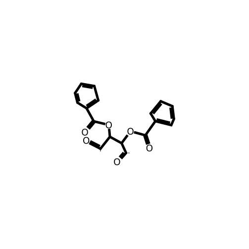 O=[C]C(OC(=O)c1ccccc1)C([C]=O)OC(=O)c1ccccc1